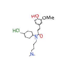 COc1cc(C=CC(=O)N(CCCCN(C)C)C2CCC(C)CC2)ccc1O.Cl